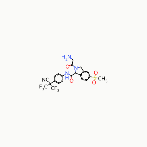 CS(=O)(=O)c1ccc2c(c1)CN(C(=O)CN)C2C(=O)Nc1ccc(C(C#N)(C(F)(F)F)C(F)(F)F)cc1